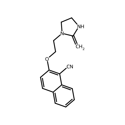 C=C1NCCN1CCOc1ccc2ccccc2c1C#N